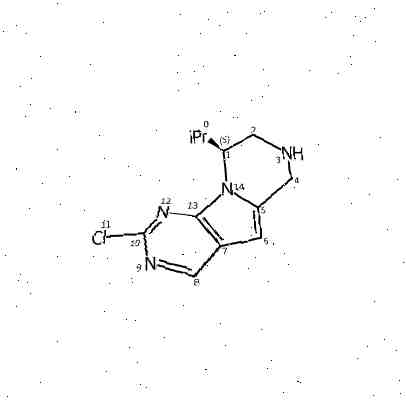 CC(C)[C@H]1CNCc2cc3cnc(Cl)nc3n21